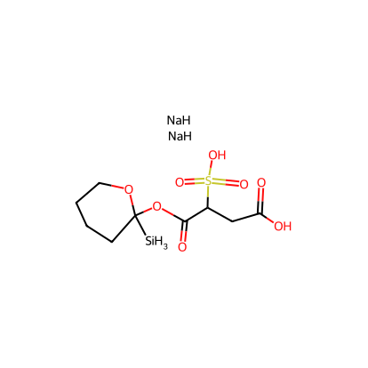 O=C(O)CC(C(=O)OC1([SiH3])CCCCO1)S(=O)(=O)O.[NaH].[NaH]